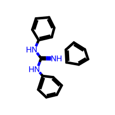 N=C(Nc1ccccc1)Nc1ccccc1.c1ccccc1